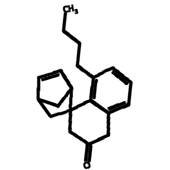 CCCCc1cccc2c1C1(CC(=O)C2)CC2C=CC1C2